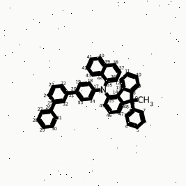 CC1(c2ccccc2)c2ccccc2-c2c(N(c3ccc(-c4cccc(-c5ccccc5)c4)cc3)c3cccc4ccccc34)cccc21